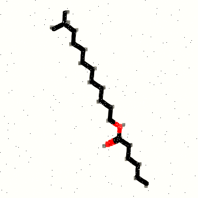 CCCCCC(=O)OCCCCCCCCCCC(C)C